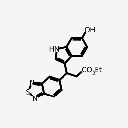 CCOC(=O)CC(c1ccc2nsnc2c1)c1c[nH]c2cc(O)ccc12